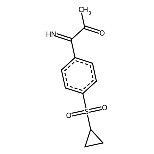 CC(=O)C(=N)c1ccc(S(=O)(=O)C2CC2)cc1